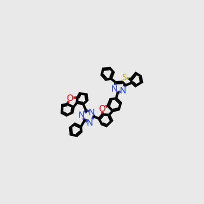 c1ccc(-c2nc(-c3cccc4c3oc3cc(-c5nc(-c6ccccc6)c6sc7ccccc7c6n5)ccc34)nc(-c3cccc4oc5ccccc5c34)n2)cc1